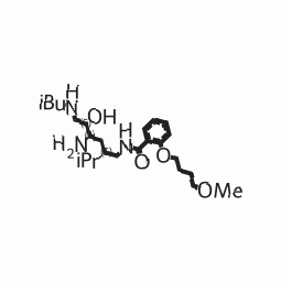 CCC(C)NC[C@H](O)[C@@H](N)C[C@H](CNC(=O)c1ccccc1OCCCCOC)C(C)C